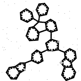 c1ccc(C2(c3ccccc3)c3ccccc3-c3c(-c4cc(-c5ccc(-c6cc7ccccc7s6)cc5)nc(-c5cccc6c5oc5ccccc56)n4)cccc32)cc1